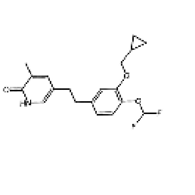 Cc1cc(CCc2ccc(OC(F)F)c(OCC3CC3)c2)c[nH]c1=O